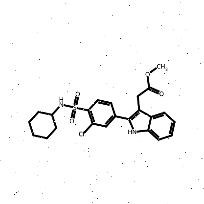 COC(=O)Cc1c(-c2ccc(S(=O)(=O)NC3CCCCC3)c(Cl)c2)[nH]c2ccccc12